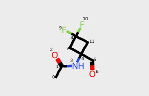 CC(=O)NC1(C=O)CC(F)(F)C1